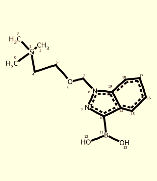 C[Si](C)(C)CCOCn1nc(B(O)O)c2ccccc21